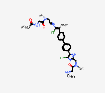 CCCN(C/C=N/C(Cl)=C(\NC)c1ccc(-c2ccc(-c3[nH]c(CN(CCC)C(=O)CNC=O)nc3Cl)cc2)cc1)C(=O)CNC(=O)OC